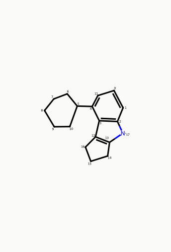 c1cc2c(c(C3CCCCC3)c1)C1=C(CCC1)[N]2